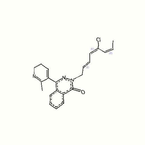 C\C=C/C(Cl)=C\C=C\Cn1nc(C2=CCCN=C2C)c2ccccc2c1=O